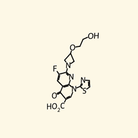 O=C(O)c1cn(-c2nccs2)c2nc(N3CC(OCCO)C3)c(F)cc2c1=O